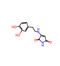 O=C1C=C(NCCc2ccc(O)c(O)c2)C(=O)N1